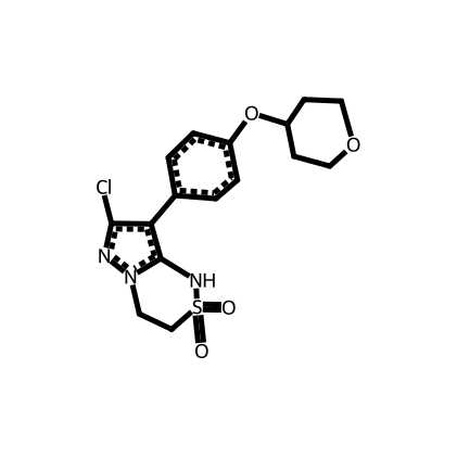 O=S1(=O)CCn2nc(Cl)c(-c3ccc(OC4CCOCC4)cc3)c2N1